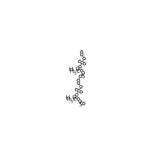 CC1(C)C2=CC=C(c3c4ccccc4c(C4=CC=CC(c5ccc6ccc(-c7ccc8c(c7)sc7ccc9cc%10c(cc9c78)C(C)(C)c7ccc(-c8c9ccccc9c(-c9cccc(-c%11ccc%12ccccc%12c%11)c9)c9ccccc89)cc7-%10)cc6c5)C4)c4ccccc34)CC2c2cc3cc4c(cc3cc21)sc1ccccc14